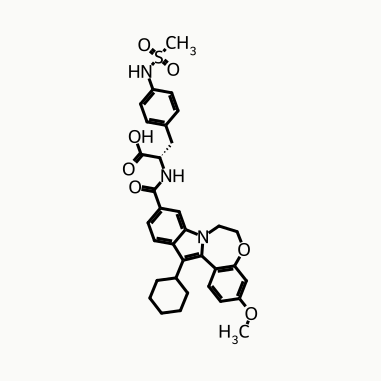 COc1ccc2c(c1)OCCn1c-2c(C2CCCCC2)c2ccc(C(=O)N[C@@H](Cc3ccc(NS(C)(=O)=O)cc3)C(=O)O)cc21